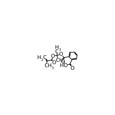 C=C(C)C(=O)OC(C)(C)OC(=O)c1ccccc1C(=O)O